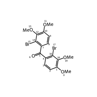 COc1ccc(C(=O)c2ccc(OC)c(OC)c2Br)c(Br)c1OC